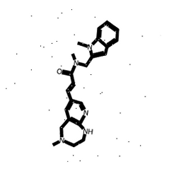 CN1CCNc2ncc(C=CC(=O)N(C)Cc3cc4ccccc4n3C)cc2C1